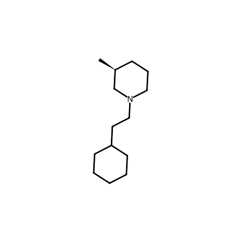 C[C@H]1CCCN(CCC2CCCCC2)C1